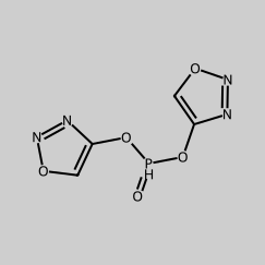 O=[PH](Oc1conn1)Oc1conn1